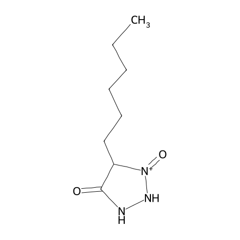 CCCCCCC1C(=O)NN[N+]1=O